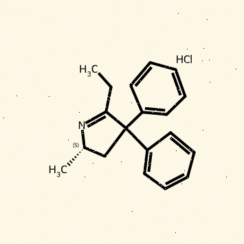 CCC1=N[C@@H](C)CC1(c1ccccc1)c1ccccc1.Cl